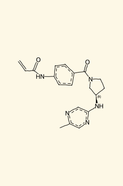 C=CC(=O)Nc1ccc(C(=O)N2CC[C@@H](Nc3cnc(C)cn3)C2)cc1